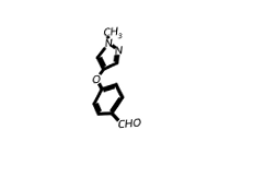 Cn1cc(Oc2ccc(C=O)cc2)cn1